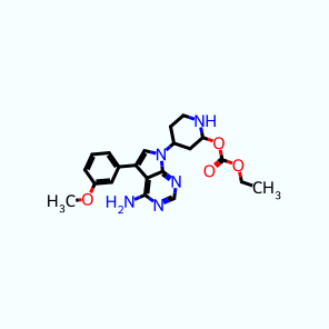 CCOC(=O)OC1CC(n2cc(-c3cccc(OC)c3)c3c(N)ncnc32)CCN1